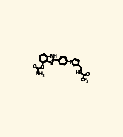 NC(=O)Oc1cccc2[nH]c(-c3ccc(-n4ccc(CNC(=O)C(F)(F)F)c4)cc3)nc12